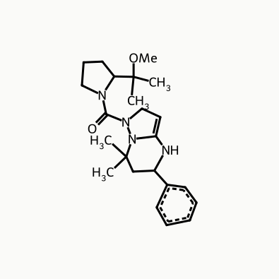 COC(C)(C)C1CCCN1C(=O)N1CC=C2NC(c3ccccc3)CC(C)(C)N21